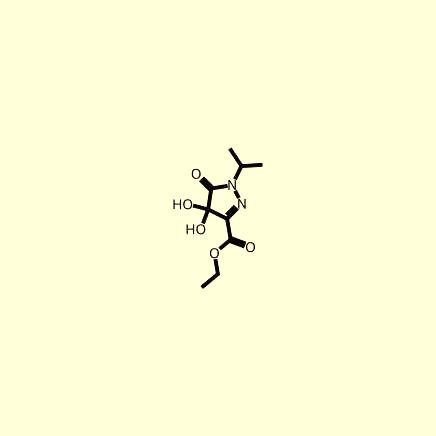 CCOC(=O)C1=NN(C(C)C)C(=O)C1(O)O